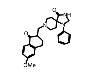 COc1ccc2c(c1)CCC(CN1CCC3(CC1)C(=O)NCN3c1ccccc1)C2=O